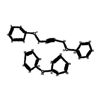 C(#CCOc1ccccc1)COc1ccccc1.c1ccc(Oc2ccccc2)cc1